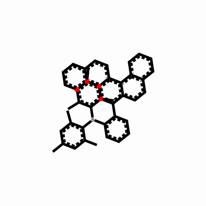 Cc1cc(C)c(B(c2ccccc2-c2nc3c4ccccc4ccc3c3c2ccc2ccccc23)c2c(C)cc(C)cc2C)c(C)c1